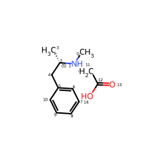 CN[C@@H](C)Cc1ccccc1.[CH2]C(=O)O